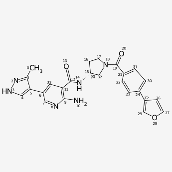 Cc1n[nH]cc1-c1cnc(N)c(C(=O)N[C@@H]2CCN(C(=O)c3ccc(-c4ccoc4)cc3)C2)c1